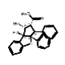 COC(=O)[C@H]1[C@@H](O)[C@@]2(O)c3ccccc3O[C@@]2(c2ccccc2)[C@@H]1c1ccccc1